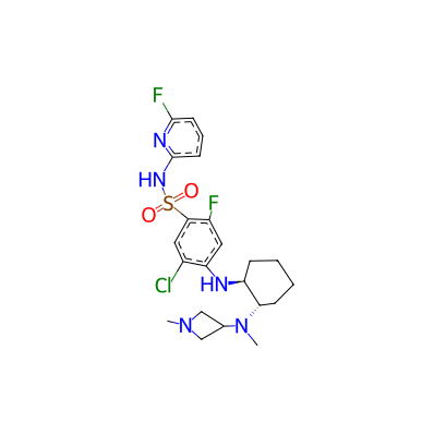 CN1CC(N(C)[C@H]2CCCC[C@@H]2Nc2cc(F)c(S(=O)(=O)Nc3cccc(F)n3)cc2Cl)C1